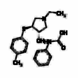 CCN1C[C@H](Sc2ccc(C)cc2)[C@@H](O)C1.O=C(O)Nc1ccccc1